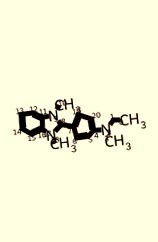 CCN(C)c1ccc(C2N(C)c3ccccc3N2C)cc1